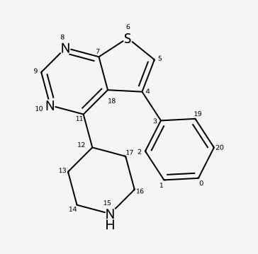 c1ccc(-c2csc3ncnc(C4CCNCC4)c23)cc1